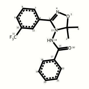 CC1(C)ON=C(c2cccc(C(F)(F)F)c2)N1NC(=O)c1ccccc1